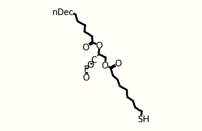 CCCCCCCCCCCCCCCC(=O)O[C@@H](COP=O)COC(=O)CCCCCCCCS